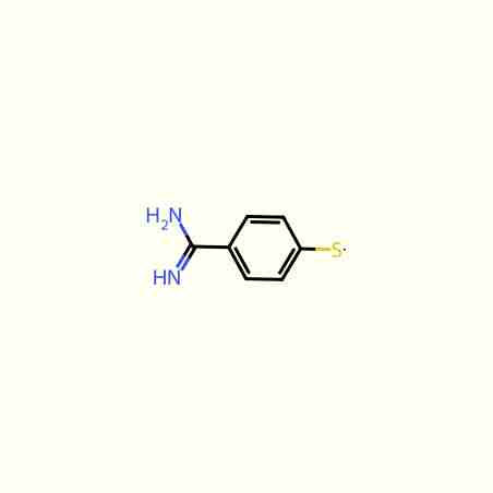 N=C(N)c1ccc([S])cc1